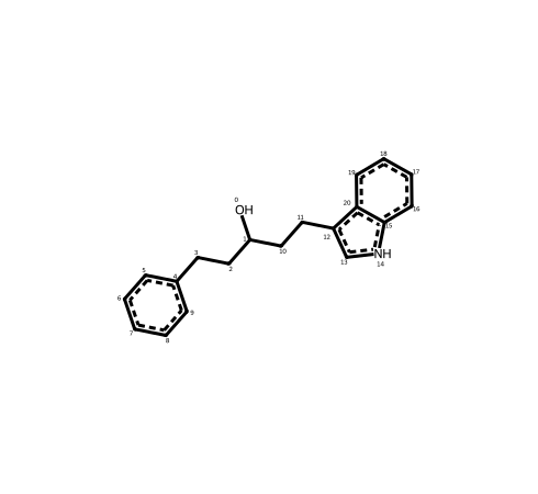 OC(CCc1ccccc1)CCc1c[nH]c2ccccc12